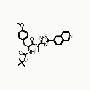 COc1ccc(C[C@H](NC(=O)OC(C)(C)C)C(=O)Nc2nsc(-c3ccc4cnccc4c3)n2)cc1